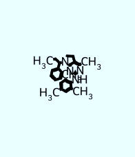 CCC(c1ccccc1)N1CCc2c(C)nc(Nc3c(C)cc(C)cc3C)nc21